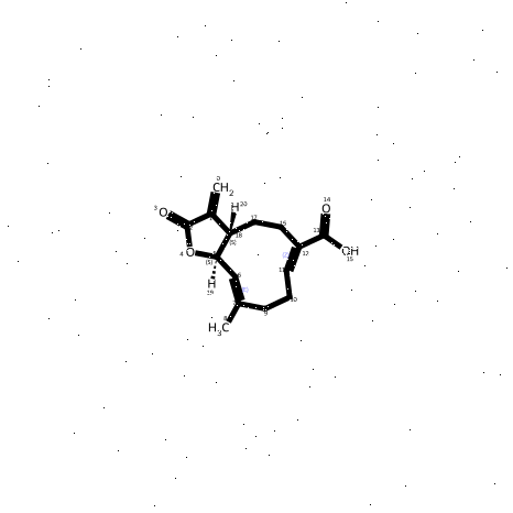 C=C1C(=O)O[C@@H]2/C=C(\C)CC/C=C(\C(=O)O)CC[C@@H]12